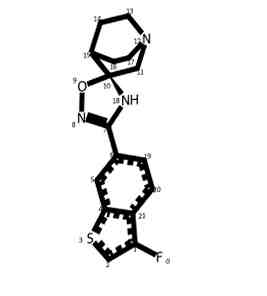 Fc1csc2cc(C3=NO[C@]4(CN5CCC4CC5)N3)ccc12